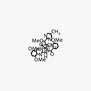 COc1cccc(C(=O)NN/C(=N/c2c(OC)cccc2OC)NS(=O)(=O)[C@H](C)[C@@H](OC)c2ncc(C)cn2)n1